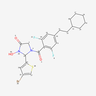 O=C1CN(C(=O)c2c(F)cc(CCC3CCCCC3)cc2F)C(c2cc(Br)cs2)N1O